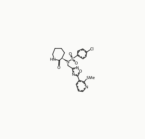 CSc1ncccc1-c1nc(CN([C@@H]2CCCCNC2=O)S(=O)(=O)c2ccc(Cl)cc2)no1